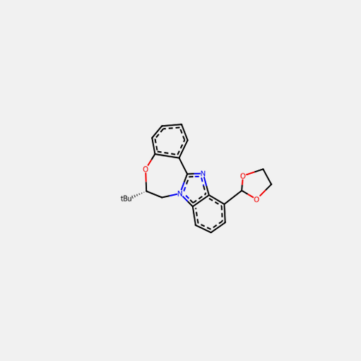 CC(C)(C)[C@H]1Cn2c(nc3c(C4OCCO4)cccc32)-c2ccccc2O1